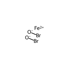 [Fe+2].[O-]Br.[O-]Br